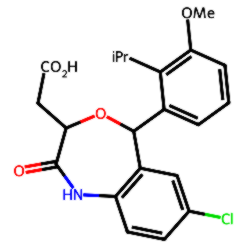 COc1cccc(C2OC(CC(=O)O)C(=O)Nc3ccc(Cl)cc32)c1C(C)C